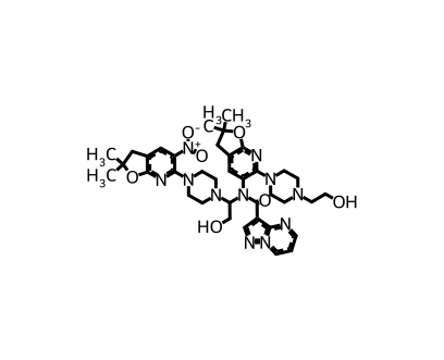 CC1(C)Cc2cc(N(C(=O)c3cnn4cccnc34)C(CO)N3CCN(c4nc5c(cc4[N+](=O)[O-])CC(C)(C)O5)CC3)c(N3CCN(CCO)CC3)nc2O1